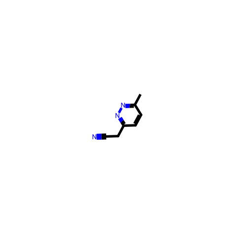 Cc1ccc(CC#N)nn1